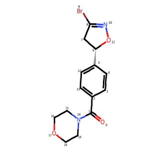 O=C(c1ccc([C@@H]2CC(Br)=NO2)cc1)N1CCOCC1